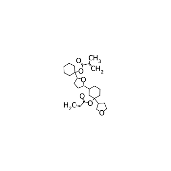 C=CC(=O)OC1(C2CCOC2)CCCC(C2CCC(C3(OC(=O)C(=C)C)CCCCC3)O2)C1